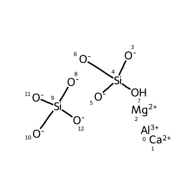 [Al+3].[Ca+2].[Mg+2].[O-][Si]([O-])([O-])O.[O-][Si]([O-])([O-])[O-]